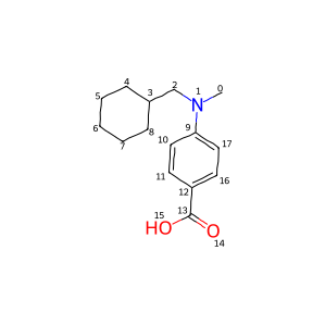 CN(CC1CCCCC1)c1ccc(C(=O)O)cc1